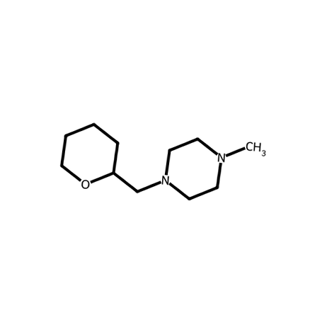 CN1CCN(CC2CCCCO2)CC1